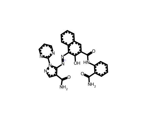 NC(=O)c1ccccc1NC(=O)c1cc2ccccc2c(/N=N/c2c(C(N)=O)cnn2-c2ncccn2)c1O